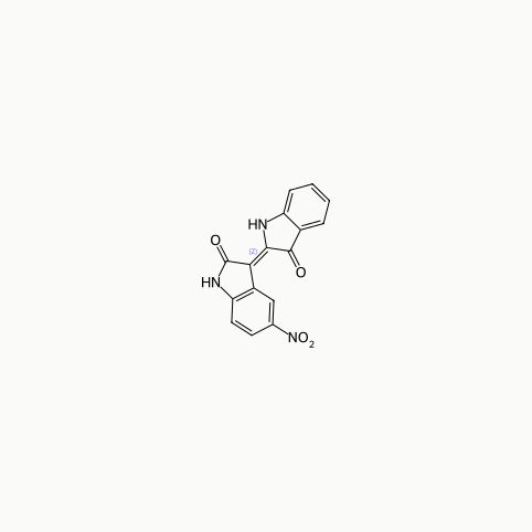 O=C1Nc2ccc([N+](=O)[O-])cc2/C1=C1/Nc2ccccc2C1=O